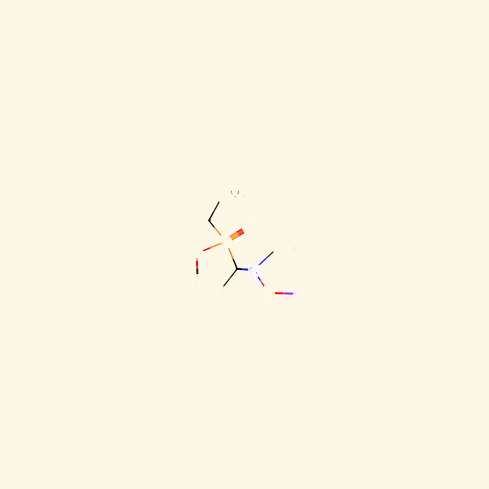 CCOP(=O)(COC)C(N(OI)C(C)(C)C)C(C)(C)C